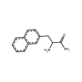 NC(=O)C(N)Cc1ccc2ccccc2c1